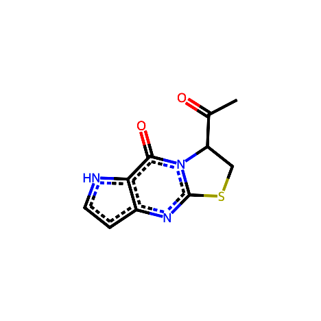 CC(=O)C1CSc2nc3cc[nH]c3c(=O)n21